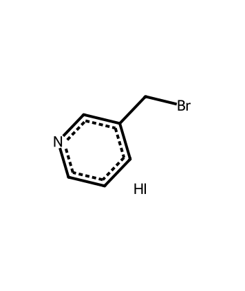 BrCc1cccnc1.I